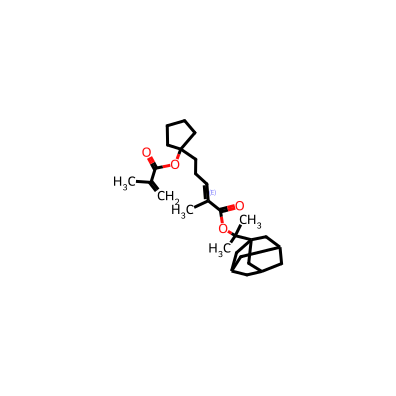 C=C(C)C(=O)OC1(CC/C=C(\C)C(=O)OC(C)(C)C23CC4CC(CC(C4)C2)C3)CCCC1